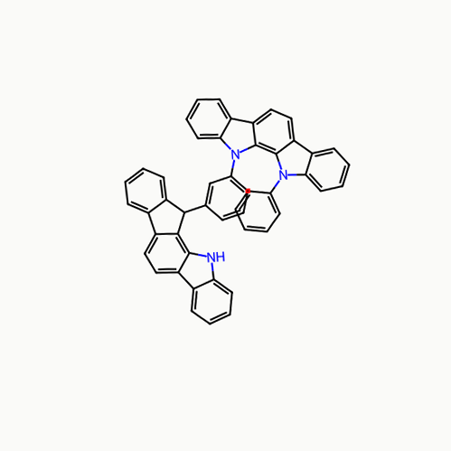 c1ccc(-n2c3ccccc3c3ccc4c5ccccc5n(-c5cccc(C6c7ccccc7-c7ccc8c([nH]c9ccccc98)c76)c5)c4c32)cc1